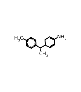 Cc1ccc([C@H](C)C2C=CC(N)=CC2)cc1